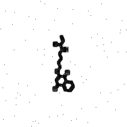 C=CC(=O)NCCCCOC1=CC(=O)c2ccccc2C1=O